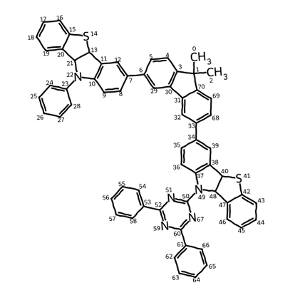 CC1(C)c2ccc(-c3ccc4c(c3)C3Sc5ccccc5C3N4c3ccccc3)cc2-c2cc(-c3ccc4c(c3)C3Sc5ccccc5C3N4c3nc(-c4ccccc4)nc(-c4ccccc4)n3)ccc21